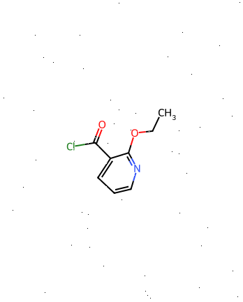 CCOc1ncccc1C(=O)Cl